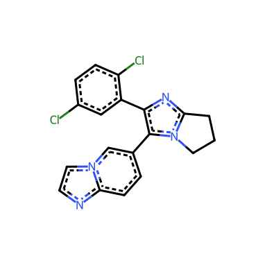 Clc1ccc(Cl)c(-c2nc3n(c2-c2ccc4nccn4c2)CCC3)c1